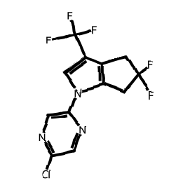 FC1(F)Cc2c(C(F)(F)F)cn(-c3cnc(Cl)cn3)c2C1